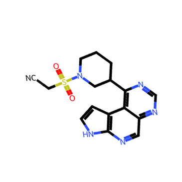 N#CCS(=O)(=O)N1CCCC(c2ncnc3cnc4[nH]ccc4c23)C1